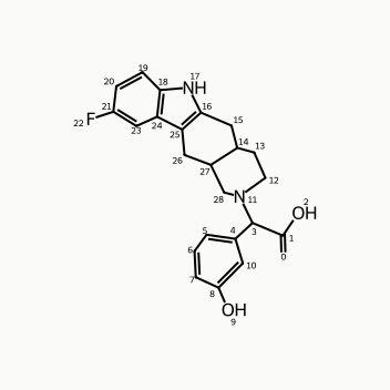 C=C(O)C(c1cccc(O)c1)N1CCC2Cc3[nH]c4ccc(F)cc4c3CC2C1